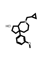 COc1cccc(C23CCCC2CN(CC2CC2)CCC3)c1.Cl